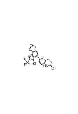 COc1ccc(-c2ccc3c(c2)CCC(=O)N3)c2c(Cl)c(C(F)(F)F)nn12